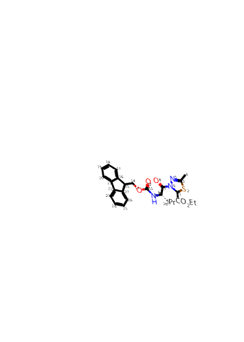 CCOC(=O)C1SC(C)=NN1C(=O)[C@@H](NC(=O)OCC1c2ccccc2-c2ccccc21)C(C)C